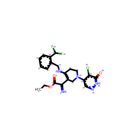 CCOC(=O)C(=N)C1=C(NCc2ccccc2C(F)F)CCN(c2cn[nH]c(=O)c2Cl)C1